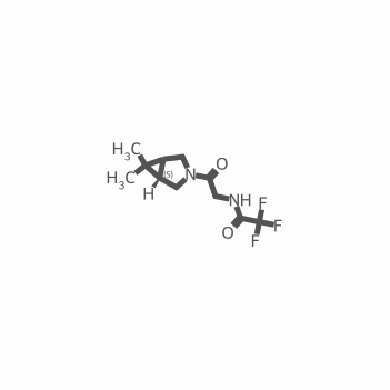 CC1(C)C2CN(C(=O)CNC(=O)C(F)(F)F)C[C@@H]21